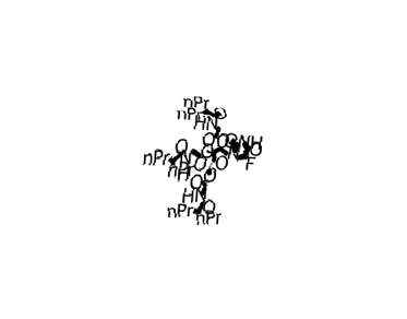 CCCC(CCC)C(=O)NCC(=O)OC[C@H]1O[C@@H](n2cc(F)c(=O)[nH]c2=O)[C@H](OC(=O)CNC(=O)C(CCC)CCC)[C@@H]1OC(=O)CNC(=O)C(CCC)CCC